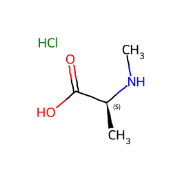 CN[C@@H](C)C(=O)O.Cl